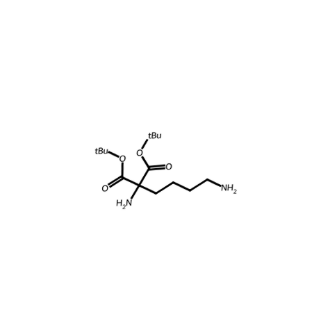 CC(C)(C)OC(=O)C(N)(CCCCN)C(=O)OC(C)(C)C